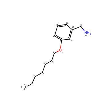 CCCCCCCOc1cccc(CN)c1